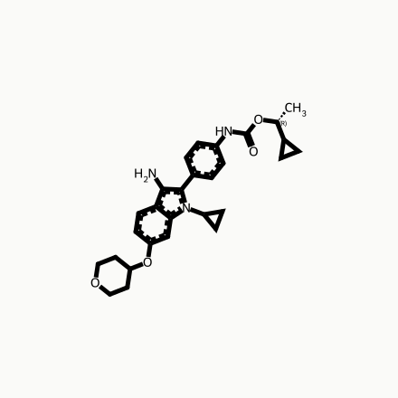 C[C@@H](OC(=O)Nc1ccc(-c2c(N)c3ccc(OC4CCOCC4)cc3n2C2CC2)cc1)C1CC1